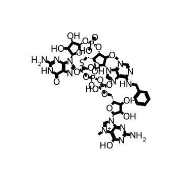 COC1[C@@H](OP(=O)(O)O[C@H]2O[C@@H](n3cnc4c(=O)[nH]c(N)nc43)C(O)[C@H]2O)[C@@H](CSP(=O)(O)OP(=O)(O)OP(=O)(O)OC[C@H]2O[C@@H](n3c[n+](C)c4c(O)nc(N)nc43)C(O)C2O)O[C@H]1n1cnc2c(NCc3ccccc3)ncnc21